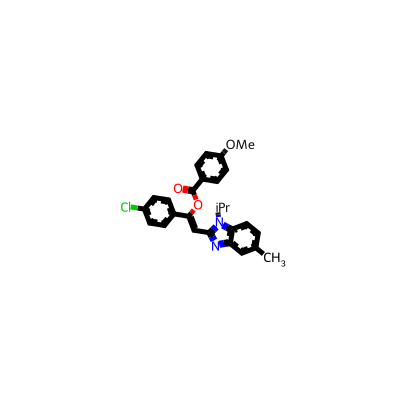 COc1ccc(C(=O)OC(=Cc2nc3cc(C)ccc3n2C(C)C)c2ccc(Cl)cc2)cc1